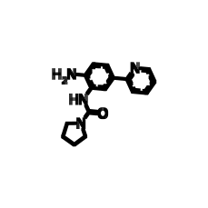 Nc1ccc(-c2ccccn2)cc1NC(=O)N1CCCC1